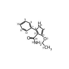 CCOc1c[nH]c(-c2ccccc2)c1C(N)=O